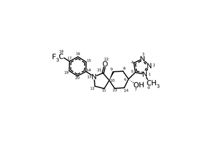 Cn1nncc1[C@]1(O)CC[C@]2(CCN(c3ccc(C(F)(F)F)cc3)C2=O)CC1